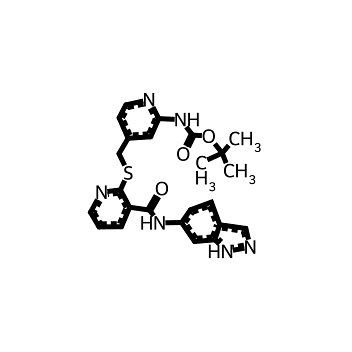 CC(C)(C)OC(=O)Nc1cc(CSc2ncccc2C(=O)Nc2ccc3cn[nH]c3c2)ccn1